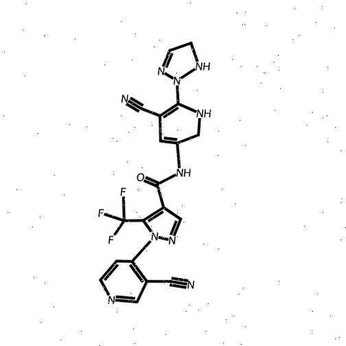 N#CC1=C(N2N=CCN2)NCC(NC(=O)c2cnn(-c3ccncc3C#N)c2C(F)(F)F)=C1